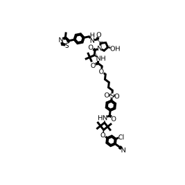 Cc1ncsc1-c1ccc(CNC(=O)[C@@H]2C[C@@H](O)CN2C(=O)[C@@H](NC(=O)COCCCCCS(=O)(=O)c2ccc(C(=O)N[C@H]3C(C)(C)[C@H](Oc4ccc(C#N)c(Cl)c4)C3(C)C)cc2)C(C)(C)C)cc1